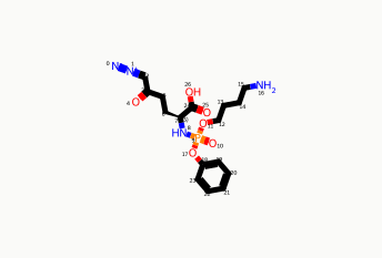 [N-]=[N+]=CC(=O)CC[C@H](NP(=O)(OCCCCN)Oc1ccccc1)C(=O)O